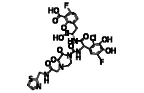 O=C(CN1CCN(C(=O)NC(C(=O)N[C@H]2Cc3ccc(F)c(C(=O)O)c3OB2O)c2cc(F)c(O)c(O)c2Cl)C(=O)C1=O)NCc1nccs1